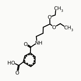 CCOC(CCCNC(=O)c1cccc(C(=O)O)c1)OCC